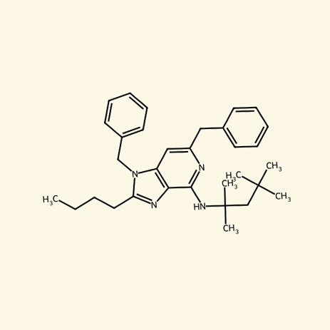 CCCCc1nc2c(NC(C)(C)CC(C)(C)C)nc(Cc3ccccc3)cc2n1Cc1ccccc1